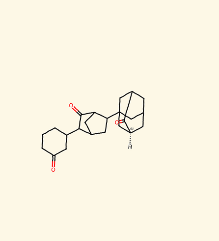 O=C1CCCC(C2C(=O)C3CC2CC3C23CC4CC(C2)C(=O)[C@@H](C4)C3)C1